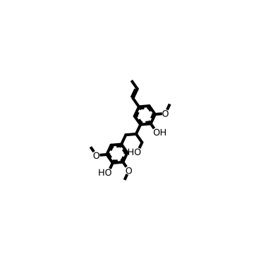 C/C=C/c1cc(OC)c(O)c(C(CO)Cc2cc(OC)c(O)c(OC)c2)c1